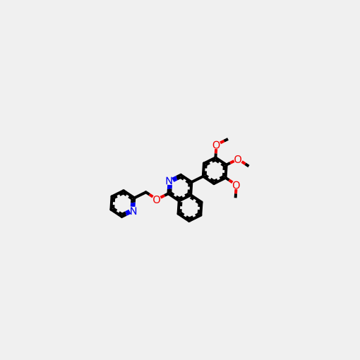 COc1cc(-c2cnc(OCc3ccccn3)c3ccccc23)cc(OC)c1OC